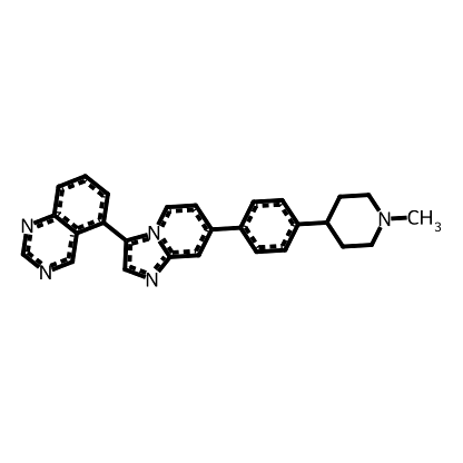 CN1CCC(c2ccc(-c3ccn4c(-c5cccc6ncncc56)cnc4c3)cc2)CC1